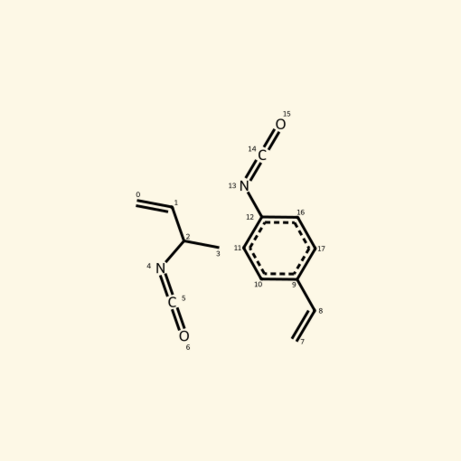 C=CC(C)N=C=O.C=Cc1ccc(N=C=O)cc1